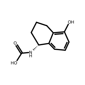 O=C(O)N[C@@H]1CCCc2c(O)cccc21